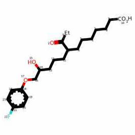 CCC(=O)C(CCCCCCC(=O)O)CCCC(O)COc1ccc(F)cc1